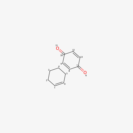 C1=CCCCC1.O=C1C=CC(=O)C=C1